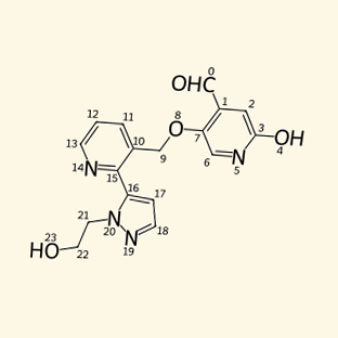 O=Cc1cc(O)ncc1OCc1cccnc1-c1ccnn1CCO